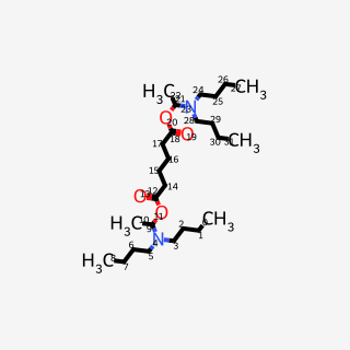 CCCCN(CCCC)C(C)OC(=O)CCCCC(=O)OC(C)N(CCCC)CCCC